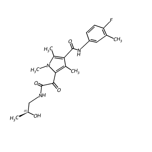 Cc1cc(NC(=O)c2c(C)c(C(=O)C(=O)NC[C@H](C)O)n(C)c2C)ccc1F